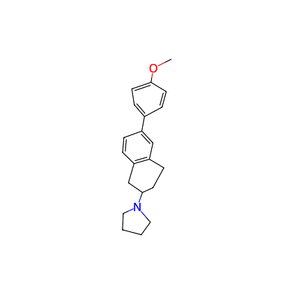 COc1ccc(-c2ccc3c(c2)CCC(N2CCCC2)C3)cc1